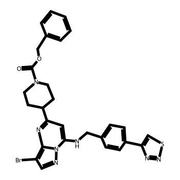 O=C(OCc1ccccc1)N1CCC(c2cc(NCc3ccc(-c4csnn4)cc3)n3ncc(Br)c3n2)CC1